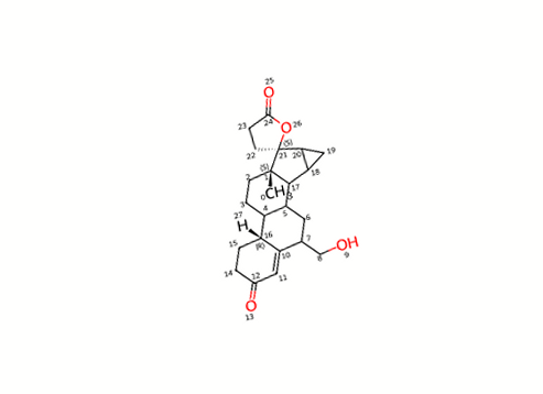 C[C@]12CCC3C(CC(CO)C4=CC(=O)CC[C@@H]43)C1C1CC1[C@@]21CCC(=O)O1